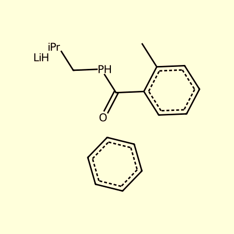 Cc1ccccc1C(=O)PCC(C)C.[LiH].c1ccccc1